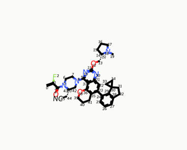 C=C(F)C(=O)N1CCN(c2nc(OC[C@@H]3CCCN3C)nc3cc(-c4cccc5c4C4(CC5)CC4)c4c(c23)OCCC4)C[C@@H]1CC#N